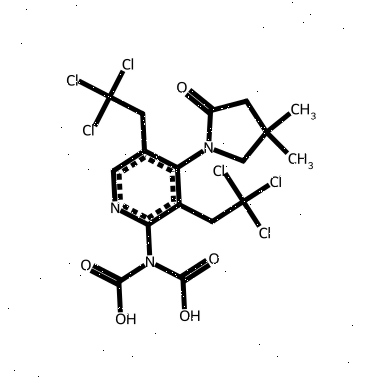 CC1(C)CC(=O)N(c2c(CC(Cl)(Cl)Cl)cnc(N(C(=O)O)C(=O)O)c2CC(Cl)(Cl)Cl)C1